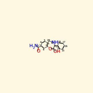 NC(=O)c1ccc2c(c1)OC(O)C(c1ccccc1)NC2